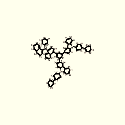 c1ccc(-c2ccc(-n3c4ccccc4c4cc(-c5cc(-c6ccc7c(c6)c6ccccc6n7-c6ccc(-c7ccccc7)cc6)cc(-c6ccc(N(c7ccccc7)c7cccc8ccccc78)c7ccccc67)c5)ccc43)cc2)cc1